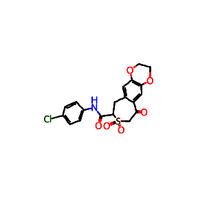 O=C1CS(=O)(=O)C(C(=O)Nc2ccc(Cl)cc2)Cc2cc3c(cc21)OCCO3